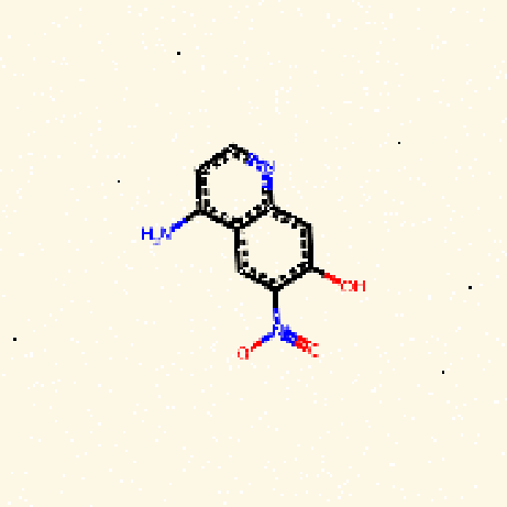 Nc1ccnc2cc(O)c([N+](=O)[O-])cc12